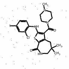 CN1CCN(C(=O)c2c(Nc3ccc(I)cc3Cl)sc3c2CC(C)(C)CNC3=O)CC1